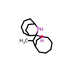 CC1C2CCCCC(CC2)PC12PC1CCCCC2CC1